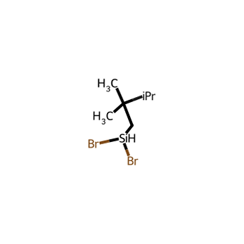 CC(C)C(C)(C)C[SiH](Br)Br